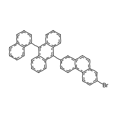 Brc1ccc2c(ccc3cc(-c4c5ccccc5c(-c5cccc6ccccc56)c5ccccc45)ccc32)c1